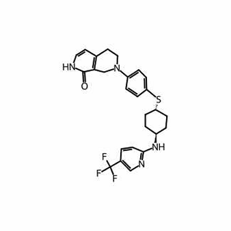 O=c1[nH]ccc2c1CN(c1ccc(S[C@H]3CC[C@H](Nc4ccc(C(F)(F)F)cn4)CC3)cc1)CC2